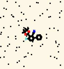 CC1(C)OB(c2c(F)ccc(-c3ccccc3)c2C#N)OC1(C)C